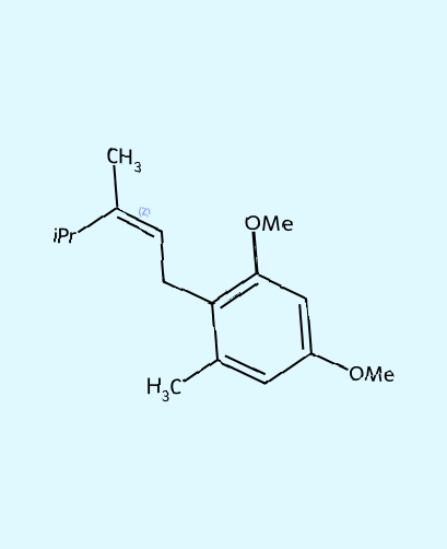 COc1cc(C)c(C/C=C(/C)C(C)C)c(OC)c1